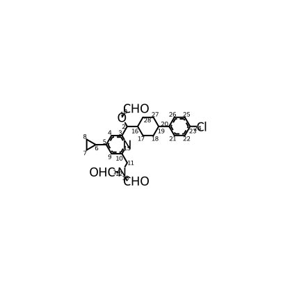 O=COC(c1cc(C2CC2)cc(CN(C=O)C=O)n1)C1CCC(c2ccc(Cl)cc2)CC1